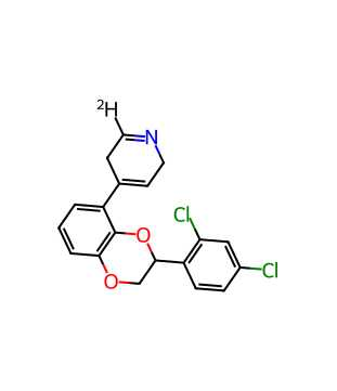 [2H]C1=NCC=C(c2cccc3c2OC(c2ccc(Cl)cc2Cl)CO3)C1